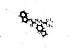 C=C(C)N(C)C1CC2(CCCO2)CCC1N(C)C(=O)CC1=CCc2ccccc21